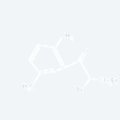 CCOC(=O)C(Br)C(=O)c1cc(C)ccc1C